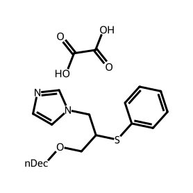 CCCCCCCCCCOCC(Cn1ccnc1)Sc1ccccc1.O=C(O)C(=O)O